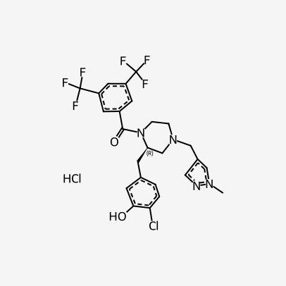 Cl.Cn1cc(CN2CCN(C(=O)c3cc(C(F)(F)F)cc(C(F)(F)F)c3)[C@H](Cc3ccc(Cl)c(O)c3)C2)cn1